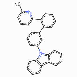 N#Cc1cccc(-c2ccccc2-c2cccc(-n3c4ccccc4c4ccccc43)c2)n1